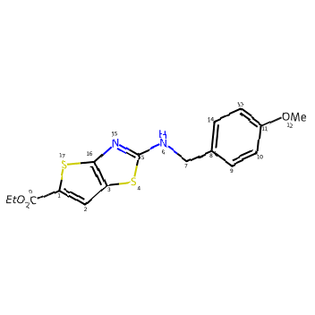 CCOC(=O)c1cc2sc(NCc3ccc(OC)cc3)nc2s1